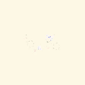 Cc1cc(C(=O)N2CCC3(CC2)Oc2ccccc2-c2c3cnn2C)cc(C)c1OC(C)C